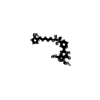 CCCc1nn(C)c2c(=O)[nH]c(-c3cccc(S(=O)(=O)NOCCCCCC4CCCN4C)c3)nc12